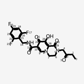 CCC(=O)CN1CCn2cc(C(=O)NCc3c(F)cc(F)cc3F)c(=O)c(O)c2C1=O